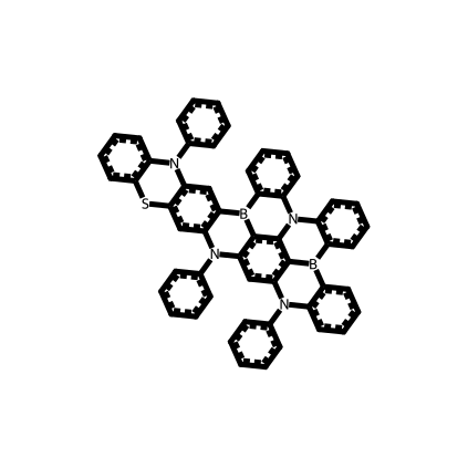 c1ccc(N2c3ccccc3Sc3cc4c(cc32)B2c3ccccc3N3c5ccccc5B5c6ccccc6N(c6ccccc6)c6cc(c2c3c65)N4c2ccccc2)cc1